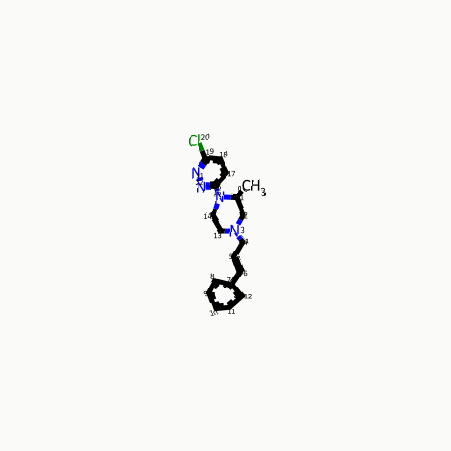 CC1CN(CC=Cc2ccccc2)CCN1c1ccc(Cl)nn1